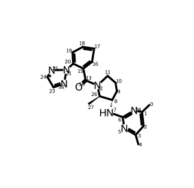 Cc1cc(C)nc(N[C@H]2CCCN(C(=O)c3ccccc3-n3nccn3)[C@@H]2C)n1